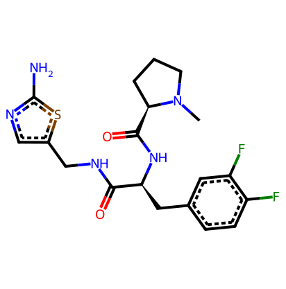 CN1CCC[C@@H]1C(=O)N[C@@H](Cc1ccc(F)c(F)c1)C(=O)NCc1cnc(N)s1